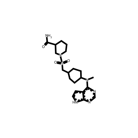 CN(c1ncnc2[nH]ccc12)C1CCC(CS(=O)(=O)N2CCCC(C(N)=O)C2)CC1